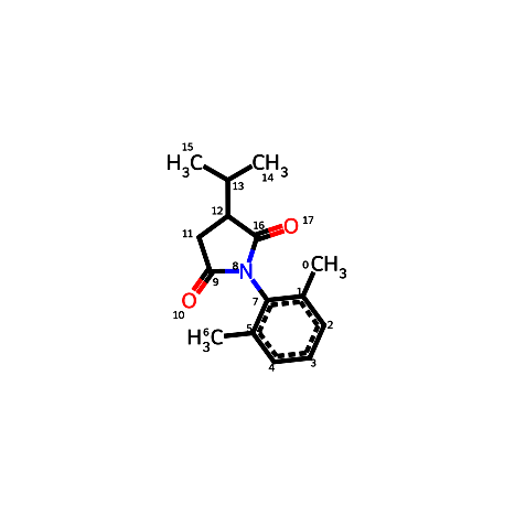 Cc1cccc(C)c1N1C(=O)CC(C(C)C)C1=O